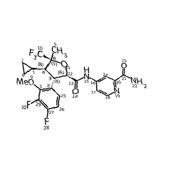 COc1c([C@@H]2[C@@H](C3CC3)[C@@](C)(C(F)(F)F)O[C@H]2C(=O)Nc2ccnc(C(N)=O)c2)ccc(F)c1F